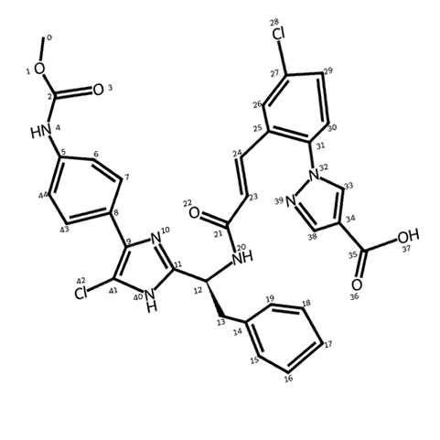 COC(=O)Nc1ccc(-c2nc([C@H](Cc3ccccc3)NC(=O)C=Cc3cc(Cl)ccc3-n3cc(C(=O)O)cn3)[nH]c2Cl)cc1